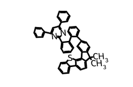 CC1(C)c2ccc(-c3ccccc3-c3ccccc3-c3nc(-c4ccccc4)cc(-c4ccccc4)n3)cc2-c2c1ccc1c2sc2ccccc21